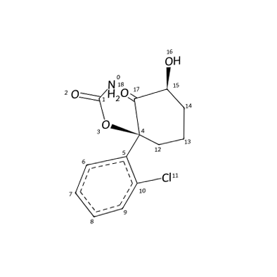 NC(=O)O[C@]1(c2ccccc2Cl)CCC[C@H](O)C1=O